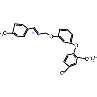 O=C(O)c1cc(Cl)ccc1Oc1cccc(OC/C=C/c2ccc(C(F)(F)F)cc2)c1